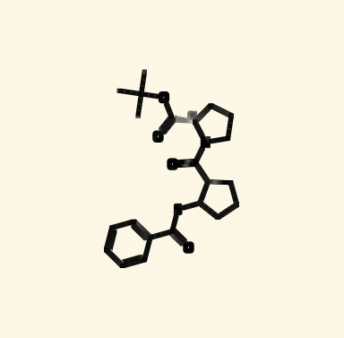 CC(C)(C)OC(=O)[C@@H]1CCCN1C(=O)C1CCCC1SC(=O)c1ccccc1